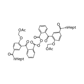 CCCCCCCC(=O)c1ccc(OCOC(C)=O)c(C(=O)c2ccccc2C(=O)OOC(=O)c2ccccc2C(=O)c2cc(C(=O)CCCCCCC)ccc2OCOC(C)=O)c1